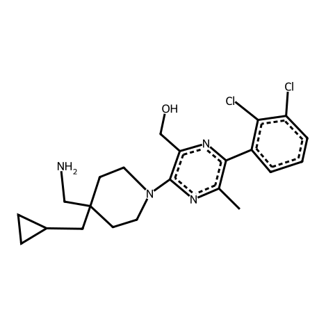 Cc1nc(N2CCC(CN)(CC3CC3)CC2)c(CO)nc1-c1cccc(Cl)c1Cl